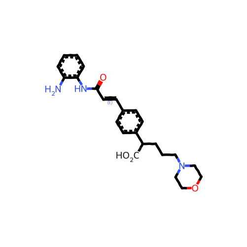 Nc1ccccc1NC(=O)/C=C/c1ccc(C(CCCN2CCOCC2)C(=O)O)cc1